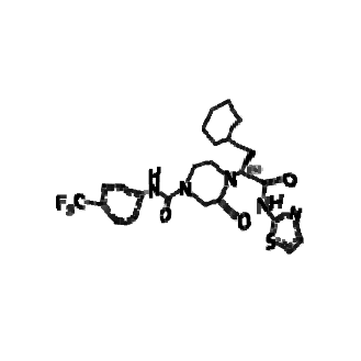 O=C(Nc1nccs1)[C@H](CC1CCCCC1)N1CCN(C(=O)Nc2ccc(C(F)(F)F)cc2)CC1=O